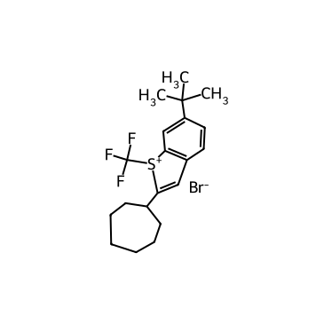 CC(C)(C)c1ccc2cc(C3CCCCCC3)[s+](C(F)(F)F)c2c1.[Br-]